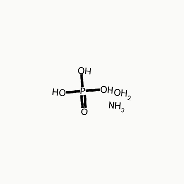 N.O.O=P(O)(O)O